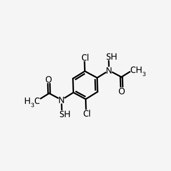 CC(=O)N(S)c1cc(Cl)c(N(S)C(C)=O)cc1Cl